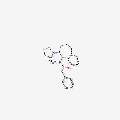 CN(C(=O)Cc1ccccc1)C1c2ccccc2CCCC1N1CCCC1